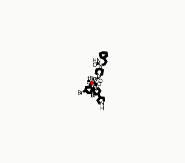 CC(C)(C)OC(=O)O[N+]1(C(=O)[C@@H](Cc2cc(Br)cc(Br)c2)OC(=O)N2CCC(N3CCc4ccccc4NC3=O)CC2)CCC(C2CCNCC2)CC1